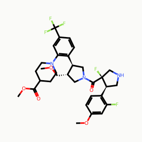 COC[C@H]1CN(C(=O)[C@]2(F)CNC[C@H]2c2ccc(OC)cc2F)C[C@@H]1c1ccc(C(F)(F)F)cc1N1CCC(C(=O)OC)CC1